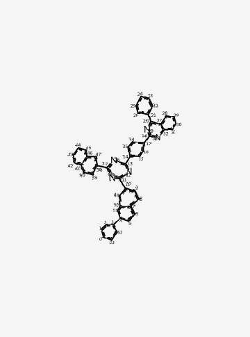 c1ccc(-c2ccc3ccc(-c4nc(-c5ccc(-c6nc(-c7ccccc7)c7ccccc7n6)cc5)nc(-c5ccc6ccccc6c5)n4)cc3c2)cc1